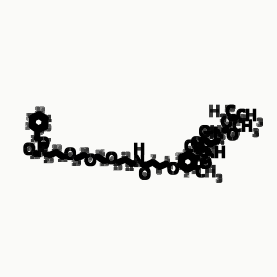 Cc1cc(OCCCC(=O)NCCCOCCOCCOCCCN(C=O)OCc2ccccc2)cc(C)c1S(=O)(=O)NC(CNC(=O)OC(C)(C)C)C(=O)O